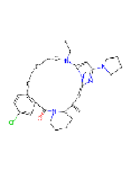 C=C1/C=C2/N=C(N3CCCC3)C=C(N(CC)CCCCCc3ccc(Cl)cc3C(=O)N3CCCCC13)N2C